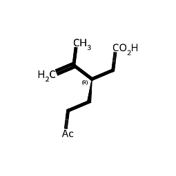 C=C(C)[C@H](CCC(C)=O)CC(=O)O